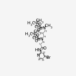 CN(CCCN(CCC(=O)Nc1cc(Br)ccn1)C(=O)OC(C)(C)C)C(=O)OC(C)(C)C